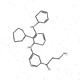 CCC(CCN)C1C=CC=C(NC2CC=CC(NC3C=CC=CC3)=C2C2CCCCC2)C1